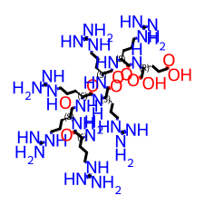 N=C(N)NCCC[C@H](NC(=O)[C@H](CCCNC(=N)N)NC(=O)[C@H](CCCNC(=N)N)NC(=O)[C@@H](N)CCCNC(=N)N)C(=O)N[C@@H](CCCNC(=N)N)C(=O)N[C@@H](CCCNC(=N)N)C(=O)N[C@H](CCC(=O)O)C(=O)O